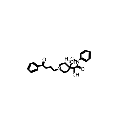 CC(C(=O)N(C)c1ccccc1)C1(O)CCN(CCCC(=O)c2ccccc2)CC1